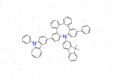 CC1(C)c2ccccc2-c2ccc(-n3c4ccc(-c5ccccc5)cc4c4ccccc4c4ccccc4c4cc(-c5ccc6c(c5)c5c(n6-c6ccccc6)CC=CC=C5)ccc43)cc21